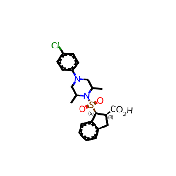 CC1CN(c2ccc(Cl)cc2)CC(C)N1S(=O)(=O)[C@@H]1c2ccccc2C[C@@H]1C(=O)O